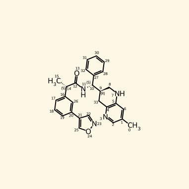 Cc1cnc2c(c1)NC[C@H]([C@H](NC(=O)[C@@H](C)c1cccc(-c3cnoc3)c1)c1ccccc1)C2